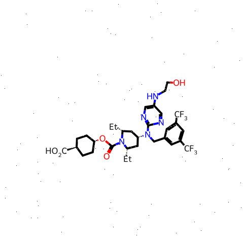 CC[C@@H]1C[C@H](N(Cc2cc(C(F)(F)F)cc(C(F)(F)F)c2)c2ncc(NCCO)cn2)C[C@H](CC)N1C(=O)O[C@H]1CC[C@H](C(=O)O)CC1